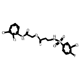 O=C(COC(=O)CCNS(=O)(=O)c1ccc(F)c(Cl)c1)Nc1cccc(Cl)c1Cl